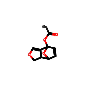 CC(C)(C)C(=O)OC12C=CC(O1)C1COC=C12